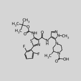 CC1CN(c2c(NC(=O)c3nc(-c4c(F)cccc4F)sc3NC(=O)OC(C)(C)C)cnn2C)CCN1C(=O)O